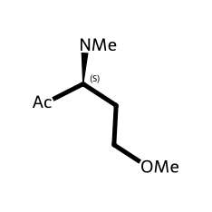 CN[C@@H](CCOC)C(C)=O